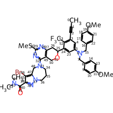 CC#Cc1cc(N(Cc2ccc(OC)cc2)Cc2ccc(OC)cc2)cc(C2Cc3nc(SC)nc(N4CCCn5nc(C(=O)N(C)C)c(Br)c5C4)c3CO2)c1C(F)(F)F